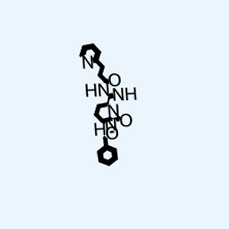 N=C(NC(=O)CCc1ccccn1)[C@@H]1CC[C@@H]2CN1C(=O)N2OCc1ccccc1